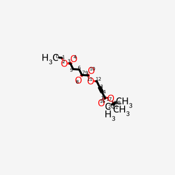 CCOC(=O)CCC(=O)C(=O)OCC#CC(=O)OC(C)(C)C